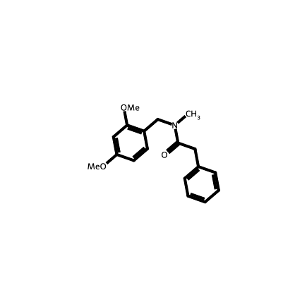 COc1ccc(CN(C)C(=O)Cc2ccccc2)c(OC)c1